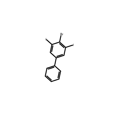 Brc1c(I)cc(-c2ccccc2)cc1I